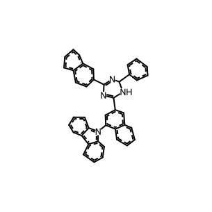 c1ccc(C2N=C(c3ccc4ccccc4c3)N=C(c3cc(-n4c5ccccc5c5ccccc54)c4ccccc4c3)N2)cc1